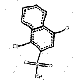 NS(=O)(=O)c1cc([O])c2ccccc2c1Cl